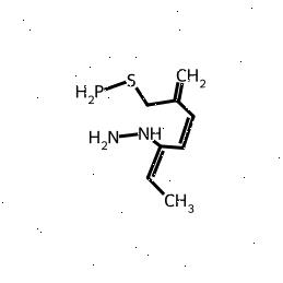 C=C(/C=C\C(=C/C)NN)CSP